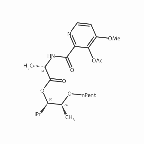 CCCCCO[C@@H](C)[C@H](OC(=O)[C@H](C)NC(=O)c1nccc(OC)c1OC(C)=O)C(C)C